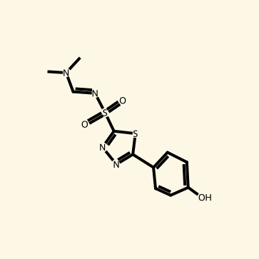 CN(C)C=NS(=O)(=O)c1nnc(-c2ccc(O)cc2)s1